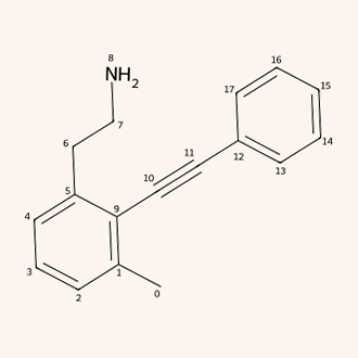 Cc1cccc(CCN)c1C#Cc1ccccc1